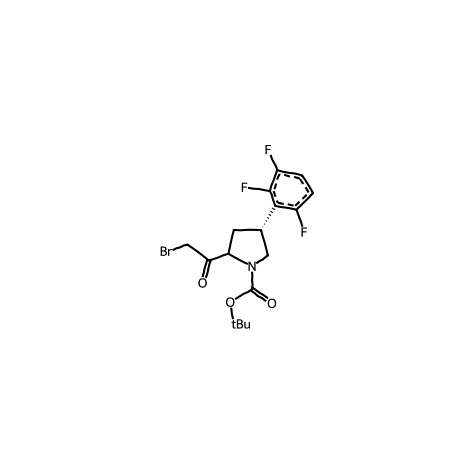 CC(C)(C)OC(=O)N1C[C@@H](c2c(F)ccc(F)c2F)CC1C(=O)CBr